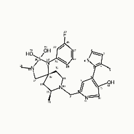 Cc1ccsc1-c1cc(CN2CC[C@@]3(C[C@@H]2C)CN(C)S(O)(O)N3c2cccc(F)c2)ncc1O